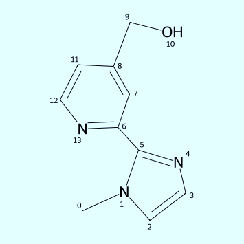 Cn1ccnc1-c1cc(CO)ccn1